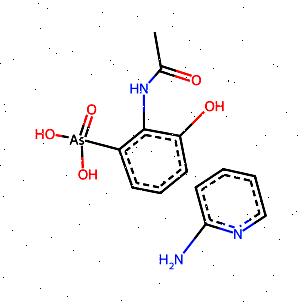 CC(=O)Nc1c(O)cccc1[As](=O)(O)O.Nc1ccccn1